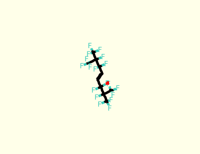 FC(F)(F)C(F)(C(F)(F)F)C(F)(F)/C=C/C(F)(F)C(F)(C(F)(F)F)C(F)(F)F